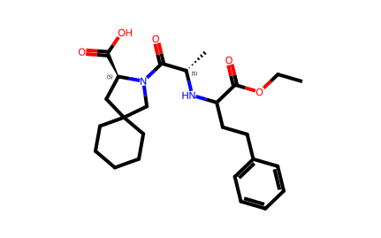 CCOC(=O)C(CCc1ccccc1)N[C@@H](C)C(=O)N1CC2(CCCCC2)C[C@H]1C(=O)O